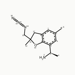 C[C@@H](N)c1cc(F)cc2c1OC(C)(CN=[N+]=[N-])C2